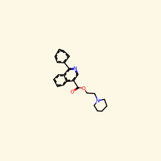 O=C(OCCN1CCCCC1)c1cnc(-c2ccccc2)c2ccccc12